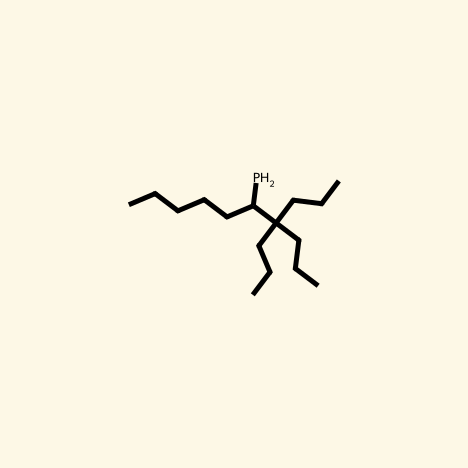 CCCCCC(P)C(CCC)(CCC)CCC